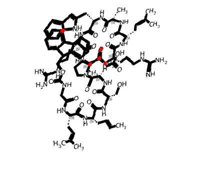 CC=CC[C@H](NC(=O)[C@H](CC=C(C)C)NC(=O)CNC(=O)OCC1c2ccccc2-c2ccccc21)C(=O)N[C@@H](CO)C(=O)N[C@@H](CC(=O)O)C(=O)N1CCCC1C(=O)N[C@@H](CCCNC(=N)N)C(=O)N[C@@H](CC=C(C)C)C(=O)N[C@@H](C)C(=O)N[C@@H](Cc1cc2ccccc2[nH]1)C(=O)N[C@@H](CCCNC(=N)N)C(=O)N[C@@H](C)C(N)=O